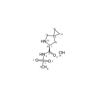 CS(=O)(=O)NC(=O)[C@@H]1CC2(CC2)CN1.Cl